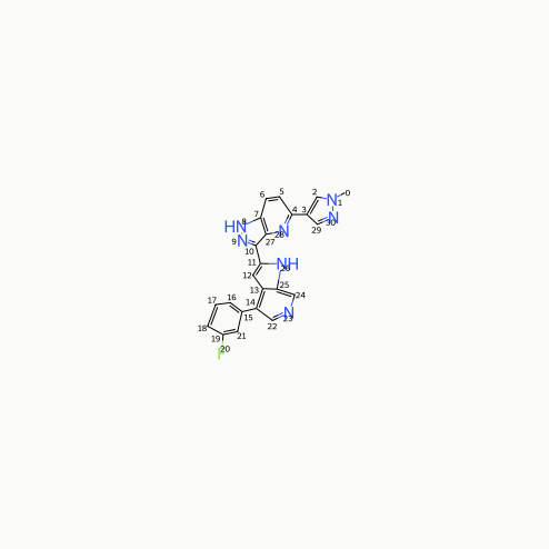 Cn1cc(-c2ccc3[nH]nc(-c4cc5c(-c6cccc(F)c6)cncc5[nH]4)c3n2)cn1